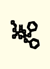 O=COP(=O)(O)OP(=O)(Oc1ccccc1)Oc1ccccc1